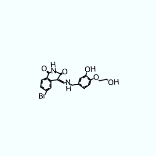 O=C1NC(=O)c2ccc(Br)cc2/C1=C/NCc1ccc(OCCO)c(O)c1